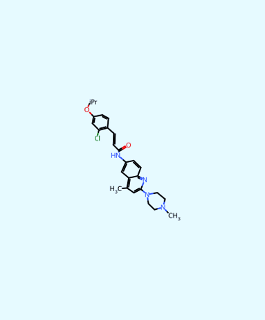 Cc1cc(N2CCN(C)CC2)nc2ccc(NC(=O)C=Cc3ccc(OC(C)C)cc3Cl)cc12